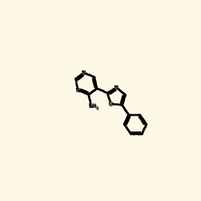 Nc1ncncc1-c1ncc(-c2ccccc2)o1